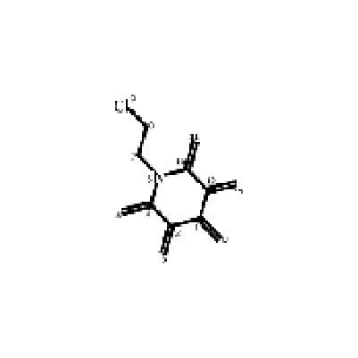 C=C1C(=C)C(=C)N(CCCl)C(=C)C1=C